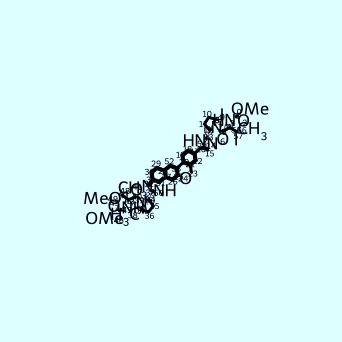 COC(=O)N[C@H](C(=O)N1[C@@H](I)CC[C@H]1c1ncc(-c2ccc3c(c2)COc2cc4c(ccc5nc([C@@H]6CC[C@H](C)N6C(=O)[C@@H](NC(=O)OC)[C@H](C)OC)[nH]c54)cc2-3)[nH]1)C(C)I